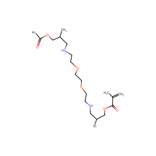 C=C(C)C(=O)OCC(CC)CNCCOCCOCCNCC(C)COC(=O)C(C)=O